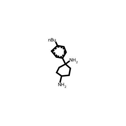 CCCCc1ccc(C2(N)CCC(N)CC2)cc1